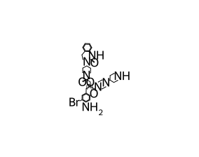 Nc1ccc(C[C@@H](OC(=O)N2CCC(N3CCc4ccccc4NC3=O)CC2)C(=O)N2CCN(C3CCNCC3)CC2)cc1Br